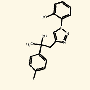 CC(O)(Cc1cn(-c2ccccc2O)nn1)c1ccc(F)cc1